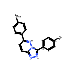 COc1ccc(-c2ccc3nnc(-c4ccc(C#N)cc4)n3n2)cc1